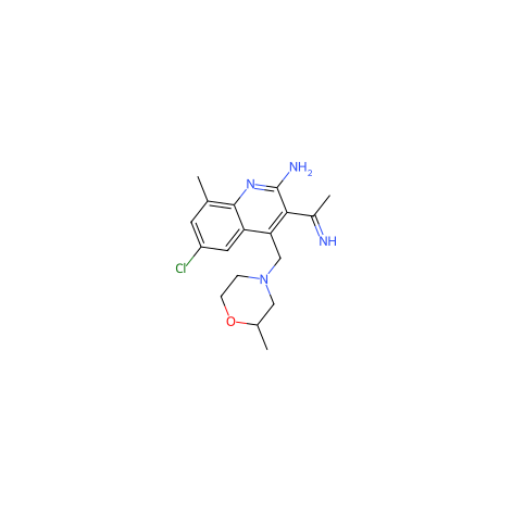 CC(=N)c1c(N)nc2c(C)cc(Cl)cc2c1CN1CCOC(C)C1